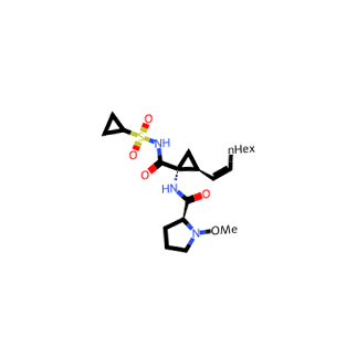 CCCCCC/C=C\[C@@H]1C[C@]1(NC(=O)[C@@H]1CCCN1OC)C(=O)NS(=O)(=O)C1CC1